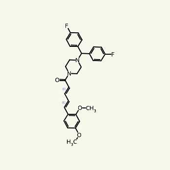 COc1ccc(/C=C/C=C/C(=O)N2CCN(C(c3ccc(F)cc3)c3ccc(F)cc3)CC2)c(OC)c1